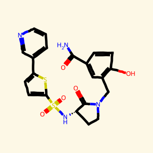 NC(=O)c1ccc(O)c(CN2CC[C@H](NS(=O)(=O)c3ccc(-c4cccnc4)s3)C2=O)c1